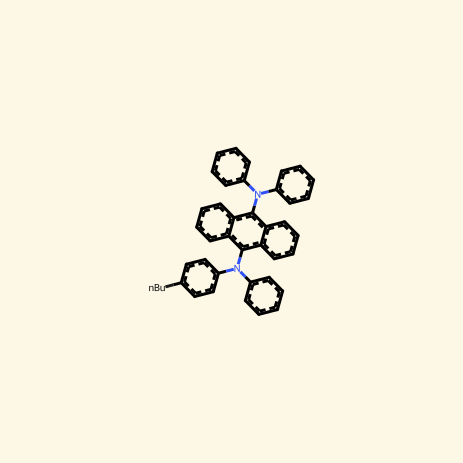 CCCCc1ccc(N(c2ccccc2)c2c3ccccc3c(N(c3ccccc3)c3ccccc3)c3ccccc23)cc1